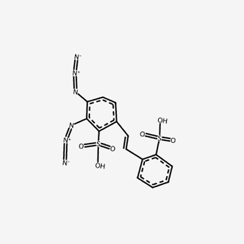 [N-]=[N+]=Nc1ccc(C=Cc2ccccc2S(=O)(=O)O)c(S(=O)(=O)O)c1N=[N+]=[N-]